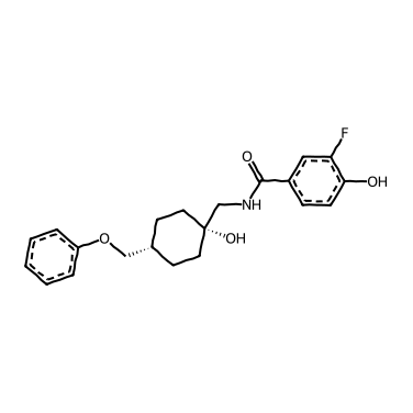 O=C(NC[C@]1(O)CC[C@@H](COc2ccccc2)CC1)c1ccc(O)c(F)c1